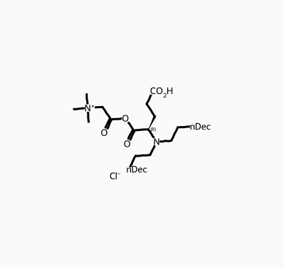 CCCCCCCCCCCCN(CCCCCCCCCCCC)[C@H](CCC(=O)O)C(=O)OC(=O)C[N+](C)(C)C.[Cl-]